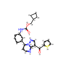 O=C(Nc1cccc(-c2ccnc3c(C(=O)c4cccs4)cnn23)c1)OCC1CCC1